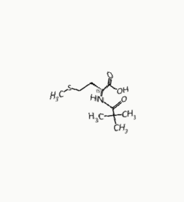 CSCC[C@H](NC(=O)C(C)(C)C)C(=O)O